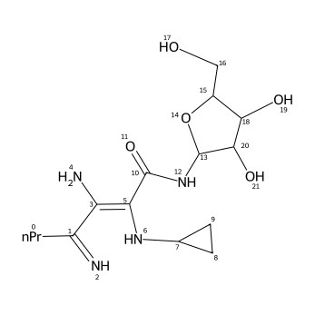 CCCC(=N)/C(N)=C(\NC1CC1)C(=O)NC1OC(CO)C(O)C1O